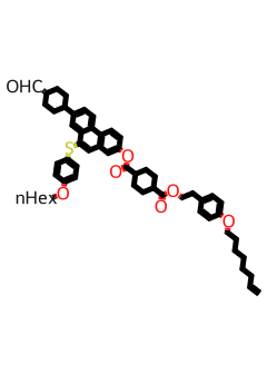 C=CCCCCCCOc1ccc(CCOC(=O)C2CCC(C(=O)Oc3ccc4c(c3)cc(Sc3ccc(OCCCCCC)cc3)c3cc(C5CCC(C=O)CC5)ccc34)CC2)cc1